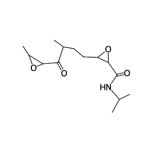 CC(C)NC(=O)C1OC1CCC(C)C(=O)C1OC1C